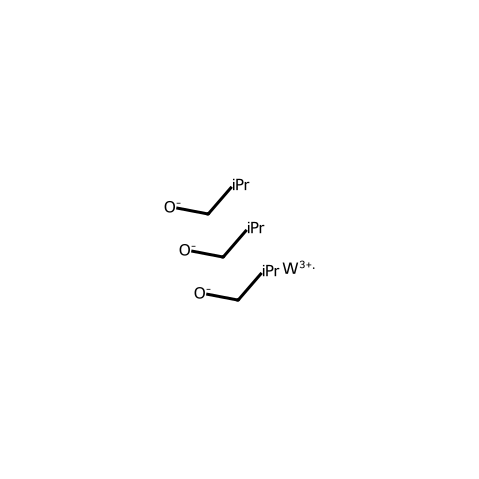 CC(C)C[O-].CC(C)C[O-].CC(C)C[O-].[W+3]